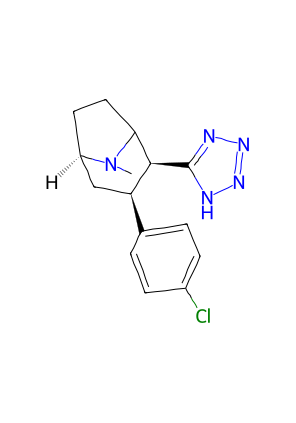 CN1C2CC[C@@H]1C[C@H](c1ccc(Cl)cc1)[C@@H]2c1nnn[nH]1